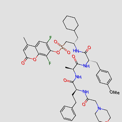 COc1ccc(C[C@H](NC(=O)[C@H](C)NC(=O)[C@H](CCc2ccccc2)NC(=O)CN2CCOCC2)C(=O)N[C@@H](CC2CCCCC2)CS(=O)(=O)Oc2c(F)cc3c(C)cc(=O)oc3c2F)cc1